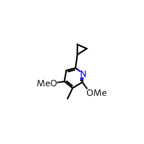 COc1cc(C2CC2)nc(OC)c1C